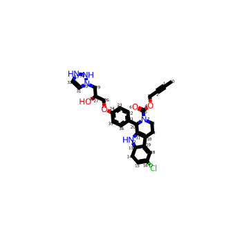 CC#CCOC(=O)N1CCC2=C(NC3CC=C(Cl)C=C23)C1c1ccc(OCC(O)CN2C=CNN2)cc1